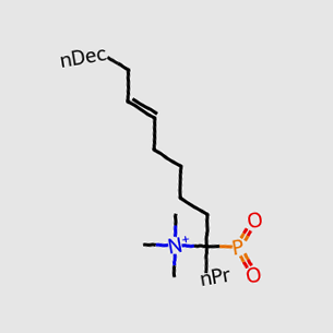 CCCCCCCCCCCC=CCCCCC(CCC)(P(=O)=O)[N+](C)(C)C